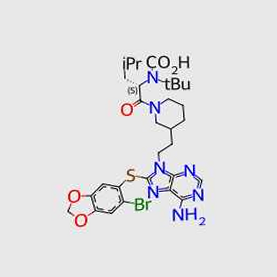 CC(C)C[C@@H](C(=O)N1CCCC(CCn2c(Sc3cc4c(cc3Br)OCO4)nc3c(N)ncnc32)C1)N(C(=O)O)C(C)(C)C